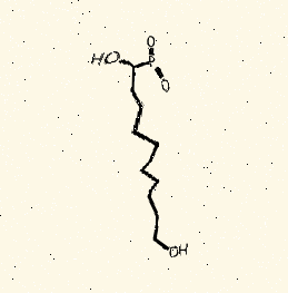 O=P(=O)C(O)CCCCCCCCCO